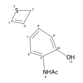 C1=CSC1.CC(=O)Nc1ccccc1O